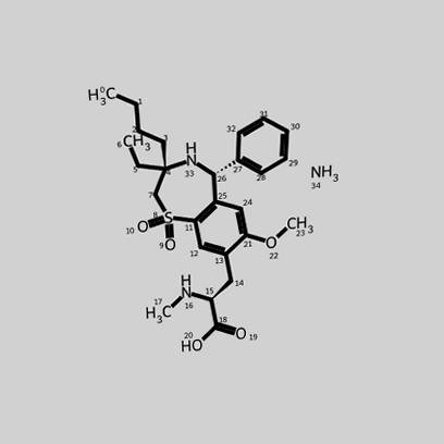 CCCC[C@]1(CC)CS(=O)(=O)c2cc(C[C@H](NC)C(=O)O)c(OC)cc2[C@@H](c2ccccc2)N1.N